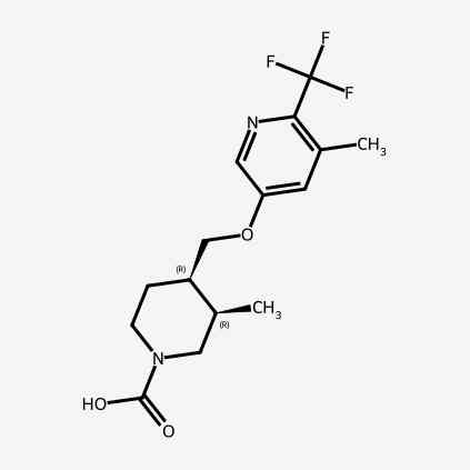 Cc1cc(OC[C@@H]2CCN(C(=O)O)C[C@@H]2C)cnc1C(F)(F)F